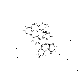 CCCCN(CC(F)(F)F)C(=O)C1c2ccccc2-c2ccc(C(=O)c3ccccc3-c3ccccn3)c(N3CCCC3N)c21